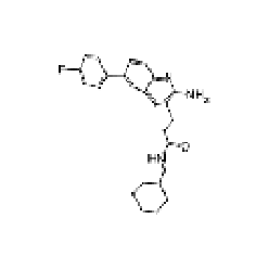 Nc1nc2ccc(-c3ccc(F)cc3)cc2cc1CCC(=O)NCC1CCCCC1